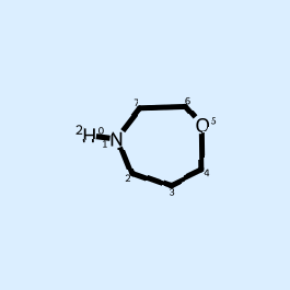 [2H]N1CCCOCC1